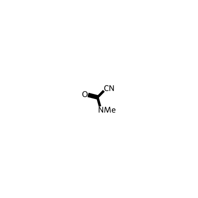 CNC(=O)C#N